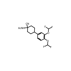 CC(=O)NC1(C#N)CCC(c2ccc(OC(F)F)c(OC(F)F)c2)CC1